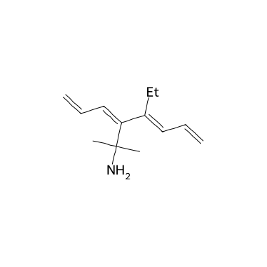 C=C/C=C(/C(=C/C=C)CC)C(C)(C)N